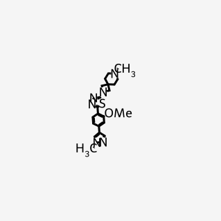 COc1cc(-c2cnn(C)c2)ccc1-c1nnc(N2CC3(CCN(C)CC3)C2)s1